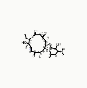 CC[C@H]1OC(=O)[C@H](C)C(=O)[C@H](C)[C@@H](OC2OC(C)CC(N(C)C)C2O)[C@@H](C)C[C@@H](C)C(=O)/C=C/[C@]1(C)O